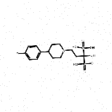 O=P(O)(O)C(O)(CCN1CCC(c2ccc(F)cc2)CC1)P(=O)(O)O